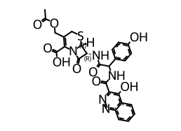 CC(=O)OCC1=C(C(=O)O)N2C(=O)[C@@H](NC(=O)C(NC(=O)c3nnc4ccccc4c3O)c3ccc(O)cc3)[C@H]2SC1